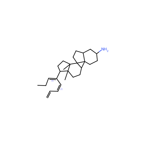 C=C/C=C\C(=C/CC)C1CCC2(C)C1(C)CCC1C34CCC(N)CC3CCC142